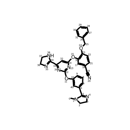 CN1CCN=C1c1cccc(Oc2nc(Oc3cc(C#N)ccc3OCc3ccccc3)cc(C3=NCCN3)n2)c1